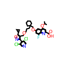 CC(C)Oc1cc(C(=O)O)nc2c(F)cc(OCC3(CCCOCc4c(-c5c(Cl)cncc5Cl)noc4C4CC4)CCCCC3)cc12